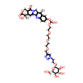 CCc1c2c(nc3ccc(OC(O)OCCOCCOCCOCc4cn(CCO[C@H]5O[C@@H](CO)[C@H](O)[C@@H](O)[C@@H]5O)nn4)cc13)-c1cc3c(c(=O)n1C2)COC(=O)[C@]3(O)CC